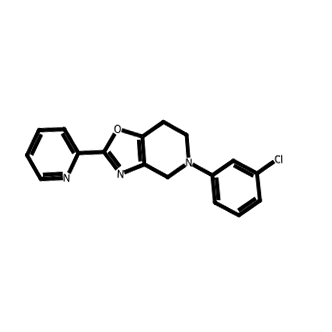 Clc1cccc(N2CCc3oc(-c4ccccn4)nc3C2)c1